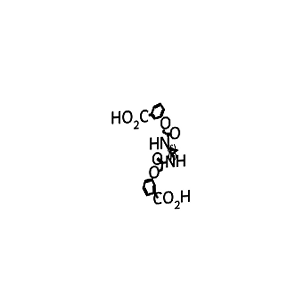 O=C(COc1cccc(C(=O)O)c1)N[C@H]1C[C@H]1NC(=O)COc1cccc(C(=O)O)c1